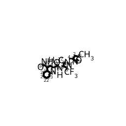 Cc1cc(Cn2nc(C(F)(F)F)c(NC(=O)c3cc(C(N)=O)c4ccccc4n3)c2C)no1